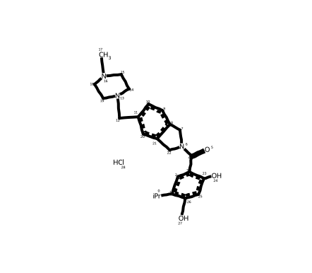 CC(C)c1cc(C(=O)N2Cc3ccc(CN4CCN(C)CC4)cc3C2)c(O)cc1O.Cl